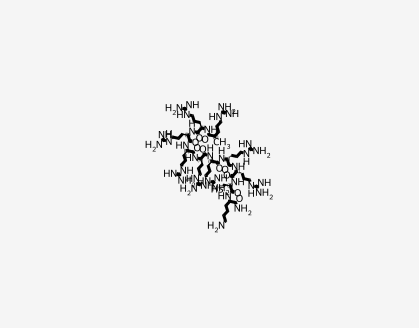 C[C@H](CCCNC(=N)N)C(=O)N[C@H](CCCNC(=N)N)C(=O)N[C@H](CCCNC(=N)N)C(=O)N[C@H](CCCNC(=N)N)C(=O)N[C@H](CCCNC(=N)N)C(=O)N[C@H](CCCNC(=N)N)C(=O)N[C@H](CCCNC(=N)N)C(=O)N[C@H](CCCNC(=N)N)C(=O)N[C@H](CS)C(=O)NC(CCCCN)C(N)=O